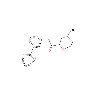 N#CN1CCOC(C(=O)Nc2cccc(-c3ccccc3)c2)C1